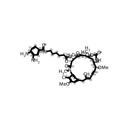 COc1cc2cc(c1Cl)N(C)C(=O)C[C@H](OC(=O)CCCCCNC(=O)c1ccc(N)c(N)c1)[C@]1(C)O[C@H]1[C@H](C)[C@@H]1C[C@@H](NC(=O)O1)[C@H](OC)/C=C/C=C(\C)C2